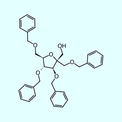 OC[C@]1(COCc2ccccc2)O[C@H](COCc2ccccc2)[C@@H](OCc2ccccc2)[C@@H]1OCc1ccccc1